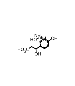 CCCCO.N.O=C(O)CC(O)c1ccc(O)cc1